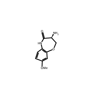 COc1ccc2c(c1)OC[C@H](N)C(=O)N2